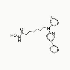 O=C(CCCCCCN(c1cccnc1)c1ccc(-c2ccccc2)cn1)NO